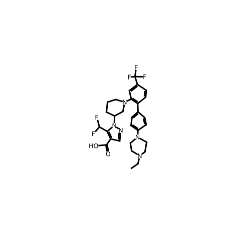 CCN1CCN(c2ccc(-c3ccc(C(F)(F)F)cc3N3CCCC(n4ncc(C(=O)O)c4C(F)F)C3)cc2)CC1